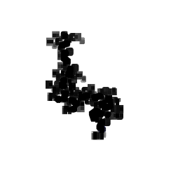 CCCCCCCC[C@H](NC(=O)[C@H]([C@H](O)C(C)C)N(C=O)[C@@H]1CCCN1C(=O)/C=C/[C@@H](C)CC)C(=O)NC(C)(C)C(=O)N[C@@H](CC(C)C)C(=O)N[C@@H](CC(C)C)C(=O)NC(C)(C)C(=O)NC(C)(C)C(=O)NCCC(=O)N[C@@H](C)CN(C)C